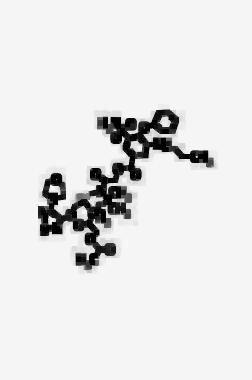 CCCCNc1cc(C(=O)OCC(=O)N(C[C@@H](COc2nsnc2N2CCOCC2)OC(=O)COC(C)=O)C(C)(C)C)cc(S(N)(=O)=O)c1Oc1ccccc1